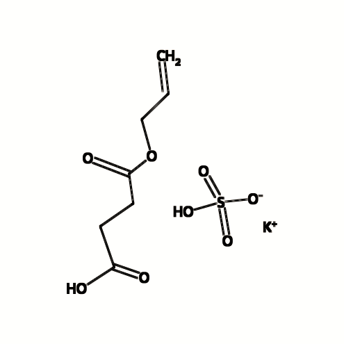 C=CCOC(=O)CCC(=O)O.O=S(=O)([O-])O.[K+]